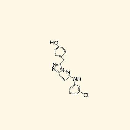 Oc1ccc(Cc2nnc3ccc(Nc4cccc(Cl)c4)nn23)cc1